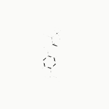 CC(F)(F)C(F)C(=O)Oc1ccc(B(O)O)cc1